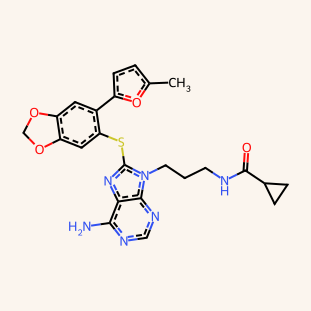 Cc1ccc(-c2cc3c(cc2Sc2nc4c(N)ncnc4n2CCCNC(=O)C2CC2)OCO3)o1